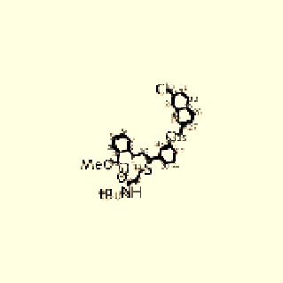 COC(=O)c1ccccc1CCC(SCCC(=O)NC(C)(C)C)c1cccc(OCc2ccc3ccc(Cl)cc3n2)c1